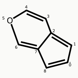 [c]1cc2ccocc-2c1